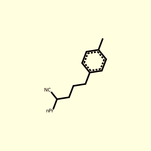 CCCC(C#N)CCCc1ccc(C)cc1